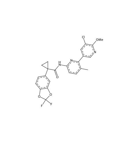 COc1ncc(-c2nc(NC(=O)C3(c4ccc5c(c4)OC(F)(F)O5)CC3)ccc2C)cc1Cl